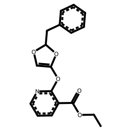 CCOC(=O)c1cccnc1OC1=COC(Cc2ccccc2)O1